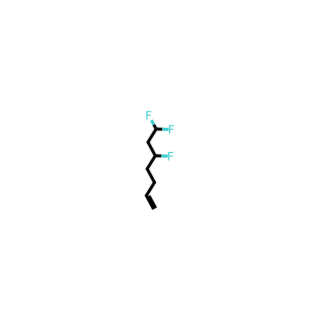 C=CCCC(F)CC(F)F